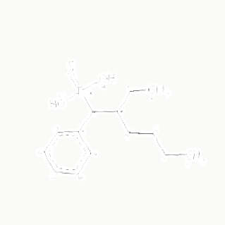 CCCCC(CC)C(c1ccccc1)P(=O)(O)O